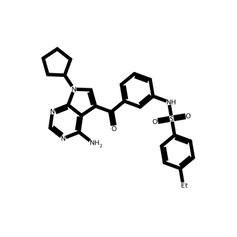 CCc1ccc(S(=O)(=O)Nc2cccc(C(=O)c3cn(C4CCCC4)c4ncnc(N)c34)c2)cc1